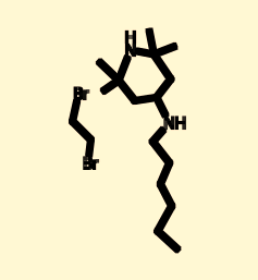 BrCCBr.CCCCCCNC1CC(C)(C)NC(C)(C)C1